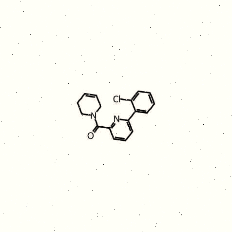 O=C(c1cccc(-c2ccccc2Cl)n1)N1CC=CCC1